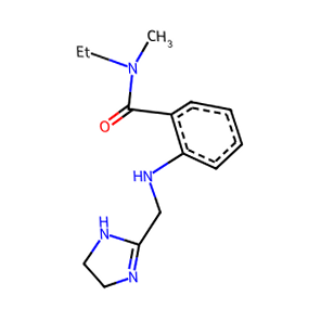 CCN(C)C(=O)c1ccccc1NCC1=NCCN1